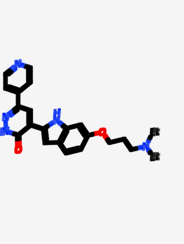 CCN(CC)CCCOc1ccc2cc(-c3cc(-c4ccncc4)n[nH]c3=O)[nH]c2c1